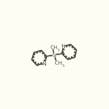 C[Si](C)(c1ccccn1)c1ccccn1